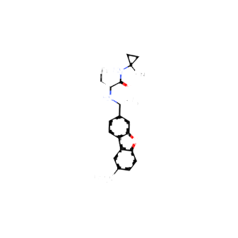 CC(C)C[C@H](N[C@@H](c1ccc2c(c1)oc1ccc(C(=O)O)cc12)C(F)(F)F)C(=O)NC1(C#N)CC1